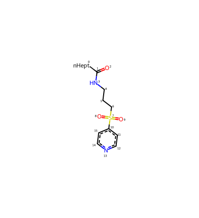 CCCCCCCC(=O)NCCCS(=O)(=O)c1ccncc1